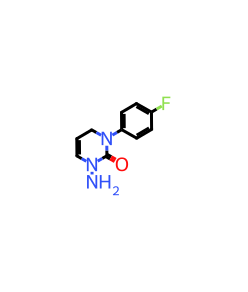 NN1C=CCN(c2ccc(F)cc2)C1=O